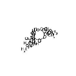 C=CC(=O)N1CC[C@](O)(C(=O)N(C)[C@H](C(=O)N[C@H]2Cc3cccc(c3)-c3ccc4c(c3)c(c(-c3cccnc3[C@H](C)OC)n4CC)CC(C)(C)COC(=O)[C@@H]3CCCN(N3)C2=O)C2COC2)C1